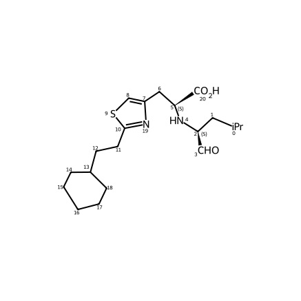 CC(C)C[C@@H](C=O)N[C@@H](Cc1csc(CCC2CCCCC2)n1)C(=O)O